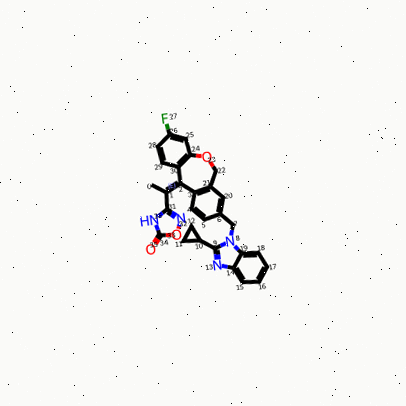 C/C(=C1/c2ccc(Cn3c(C4CC4)nc4ccccc43)cc2COc2cc(F)ccc21)c1noc(=O)[nH]1